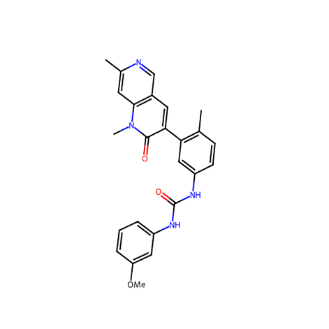 COc1cccc(NC(=O)Nc2ccc(C)c(-c3cc4cnc(C)cc4n(C)c3=O)c2)c1